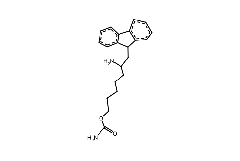 NC(=O)OCCCCCC(N)CC1c2ccccc2-c2ccccc21